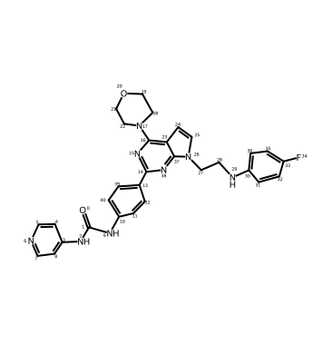 O=C(Nc1ccncc1)Nc1ccc(-c2nc(N3CCOCC3)c3ccn(CCNc4ccc(F)cc4)c3n2)cc1